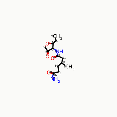 CCC1OCC(=O)C1NC(=O)CC(C)CCC(N)=O